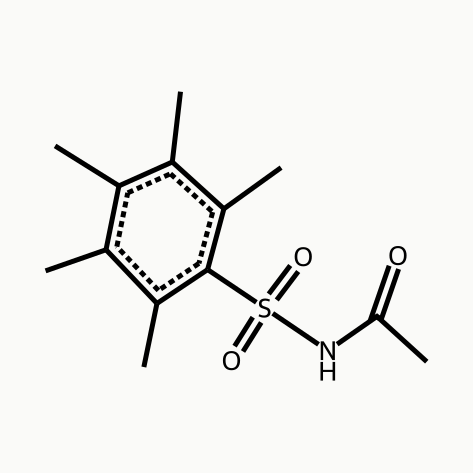 CC(=O)NS(=O)(=O)c1c(C)c(C)c(C)c(C)c1C